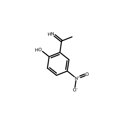 CC(=N)c1cc([N+](=O)[O-])ccc1O